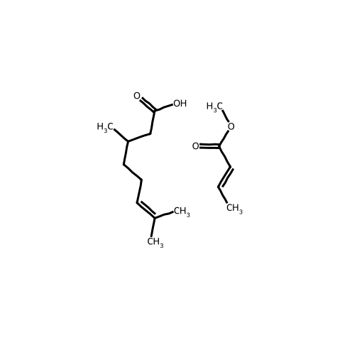 C/C=C/C(=O)OC.CC(C)=CCCC(C)CC(=O)O